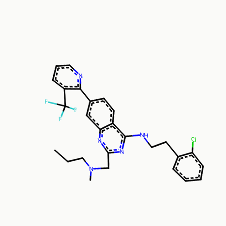 CCCN(C)Cc1nc(NCCc2ccccc2Cl)c2ccc(-c3ncccc3C(F)(F)F)cc2n1